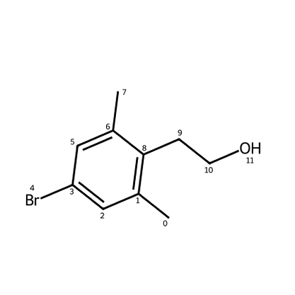 Cc1cc(Br)cc(C)c1CCO